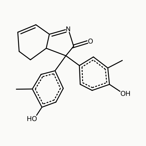 Cc1cc(C2(c3ccc(O)c(C)c3)C(=O)N=C3C=CCCC32)ccc1O